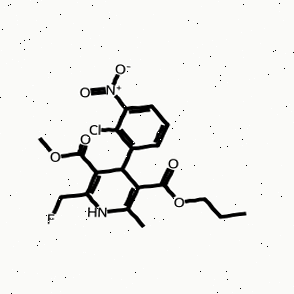 CCCOC(=O)C1=C(C)NC(CF)=C(C(=O)OC)C1c1cccc([N+](=O)[O-])c1Cl